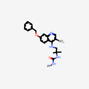 CC(C)NC(=O)NC(C)(C)CNc1c([N+](=O)[O-])cnc2cc(OCc3ccccc3)ccc12